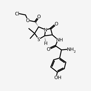 CC1(C)S[C@@H]2C(NC(=O)C(N)c3ccc(O)cc3)C(=O)N2[C@H]1C(=O)OCCl